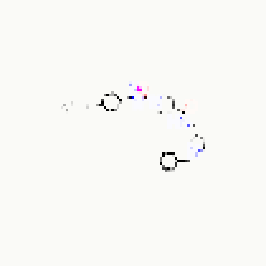 COc1ccc(-c2noc(N3CCC(C(=O)NCC4CCN(Cc5ccccc5F)C4)CC3)n2)cc1